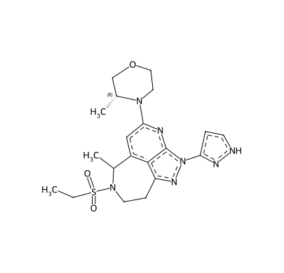 CCS(=O)(=O)N1CCc2nn(-c3cc[nH]n3)c3nc(N4CCOC[C@H]4C)cc(c23)C1C